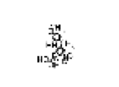 COc1cccc(Nc2c(C)cc([N+](=O)[O-])c3[nH]c(C(=O)O)cc23)c1